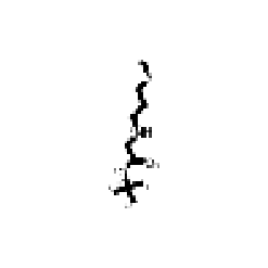 CSCCCNCC(=O)OC(C)(C)C